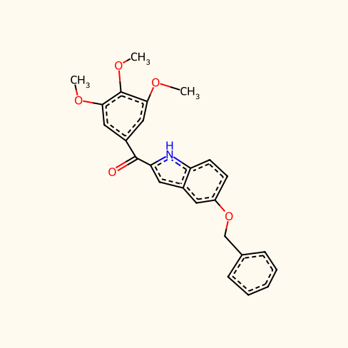 COc1cc(C(=O)c2cc3cc(OCc4ccccc4)ccc3[nH]2)cc(OC)c1OC